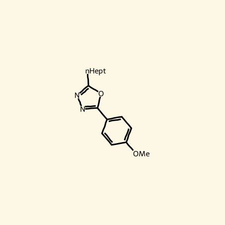 CCCCCCCc1nnc(-c2ccc(OC)cc2)o1